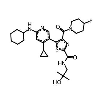 CC(C)(O)CNC(=O)c1nc(C(=O)N2CCC(F)CC2)c(-c2cnc(NC3CCCCC3)cc2C2CC2)s1